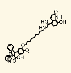 COc1ccc(C(c2ccccc2)N(C(=O)O)[C@H]2CN3CCC2CC3)cc1OCCCCCCCCCNC[C@@H](O)c1ccc(O)c2[nH]c(=O)ccc12